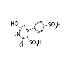 Cn1c(O)cc(-c2ccc(S(=O)(=O)O)cc2)c(S(=O)(=O)O)c1=O